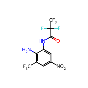 Nc1c(NC(=O)C(F)(F)C(F)(F)F)cc([N+](=O)[O-])cc1C(F)(F)F